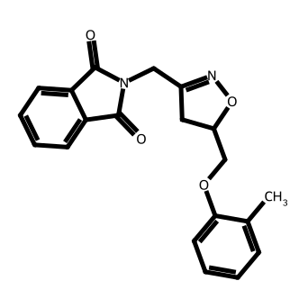 Cc1ccccc1OCC1CC(CN2C(=O)c3ccccc3C2=O)=NO1